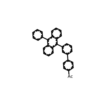 CC(=O)c1ccc(-c2cccc(-c3c4ccccc4c(-c4ccccc4)c4ccccc34)c2)cc1